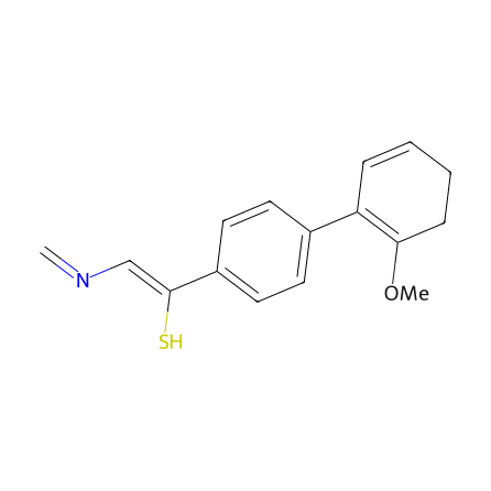 C=N/C=C(\S)c1ccc(C2=C(OC)CCC=C2)cc1